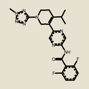 CC(C)C1=C(c2cnc(NC(=O)c3c(F)cccc3F)cn2)CN(c2nnn(C)n2)CC1